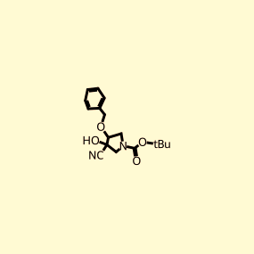 CC(C)(C)OC(=O)N1CC(OCc2ccccc2)C(O)(C#N)C1